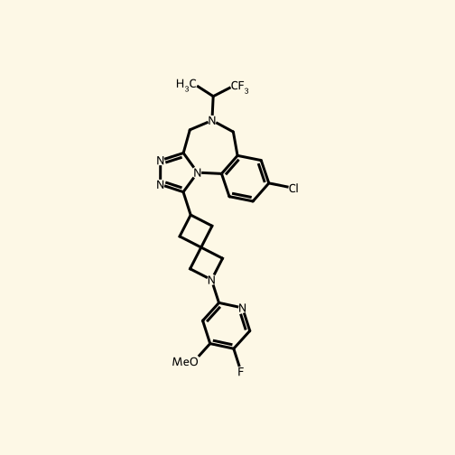 COc1cc(N2CC3(CC(c4nnc5n4-c4ccc(Cl)cc4CN(C(C)C(F)(F)F)C5)C3)C2)ncc1F